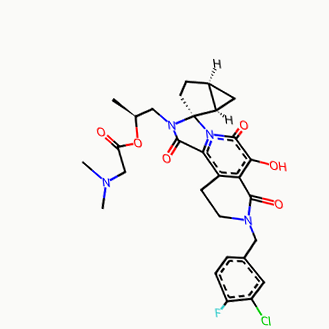 C[C@@H](CN1C(=O)c2c3c(c(O)c(=O)n2[C@@]12CC[C@H]1C[C@H]12)C(=O)N(Cc1ccc(F)c(Cl)c1)CC3)OC(=O)CN(C)C